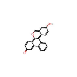 COc1ccc2c(coc3c4ccc(=O)cc4c4ccccc4c23)c1